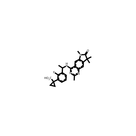 Cc1nc(NC(C)c2cccc(C3(C(=O)O)CC3)c2F)c2cc3c(cc2n1)C(C)(C)C(=O)N3C